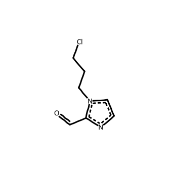 O=Cc1nccn1CCCCl